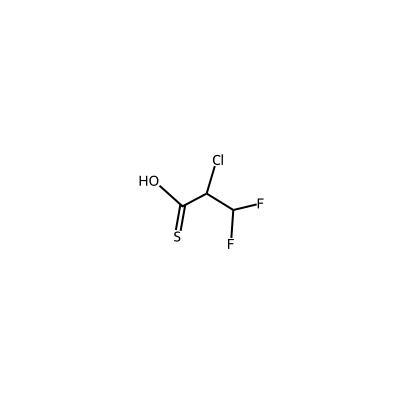 OC(=S)C(Cl)C(F)F